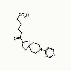 O=C(O)CCCCC(=O)N1CCC2(CCN(c3ccncc3)CC2)C1